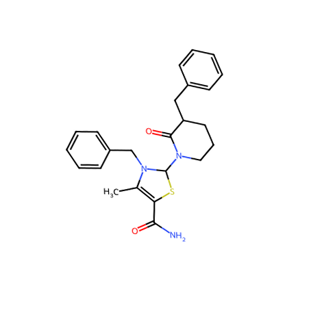 CC1=C(C(N)=O)SC(N2CCCC(Cc3ccccc3)C2=O)N1Cc1ccccc1